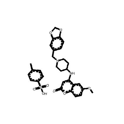 COc1ccc2oc(=O)cc(NC3CCN(Cc4ccc5c(c4)OCO5)CC3)c2c1.Cc1ccc(S(=O)(=O)O)cc1